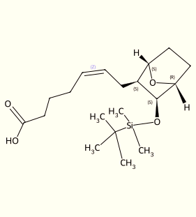 CC(C)(C)[Si](C)(C)O[C@H]1[C@@H](C/C=C\CCCC(=O)O)[C@@H]2CC[C@H]1O2